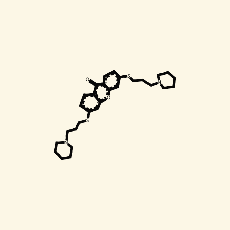 O=c1c2ccc(SCCCN3CCCCC3)cc2oc2cc(SCCCN3CCCCC3)ccc12